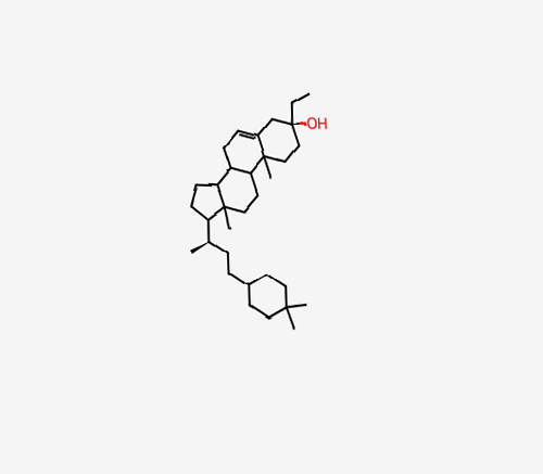 CC[C@]1(O)CCC2(C)C(=CCC3C2CCC2(C)C3CCC2[C@H](C)CCC2CCC(C)(C)CC2)C1